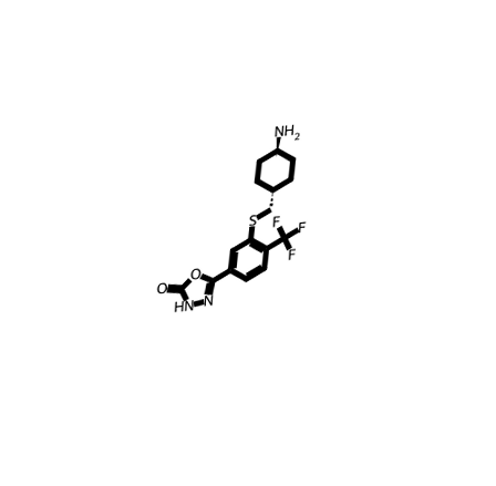 N[C@H]1CC[C@H](CSc2cc(-c3n[nH]c(=O)o3)ccc2C(F)(F)F)CC1